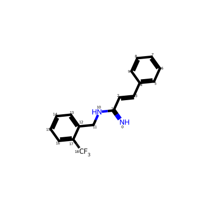 N=C(/C=C/c1ccccc1)NCc1ccccc1C(F)(F)F